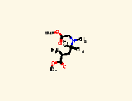 CC(CC(C)(C)N(C)CC(=O)OC(C)(C)C)C(=O)OC(C)(C)C